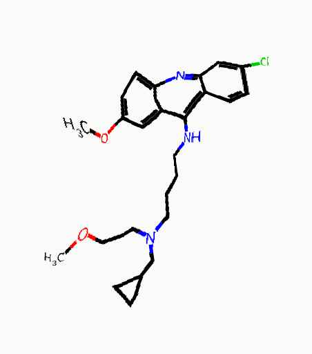 COCCN(CCCCNc1c2ccc(Cl)cc2nc2ccc(OC)cc12)CC1CC1